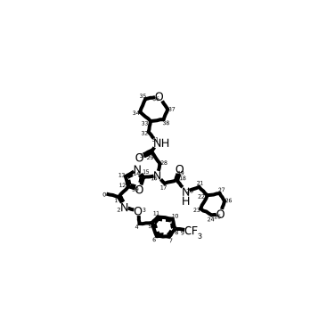 CC(=NOCc1ccc(C(F)(F)F)cc1)c1cnc(N(CC(=O)NCC2CCOCC2)CC(=O)NCC2CCOCC2)o1